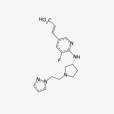 O=C(O)/C=C/c1cnc(N[C@@H]2CCN(CCn3cccn3)C2)c(F)c1